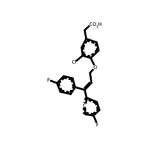 O=C(O)Cc1ccc(OCC=C(c2ccc(F)cc2)c2ccc(F)cc2)c(Cl)c1